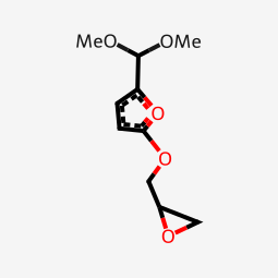 COC(OC)c1ccc(OCC2CO2)o1